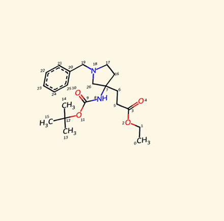 CCOC(=O)CCC1(NC(=O)OC(C)(C)C)CCN(Cc2ccccc2)C1